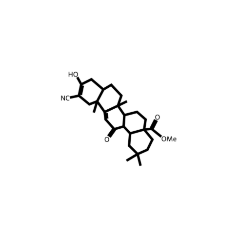 COC(=O)C12CCC3C(C(=O)C=C4C5(C)CC(C#N)=C(O)CC5CCC43C)C1CC(C)(C)CC2